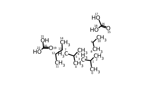 CC(C)C.CC(C)C.CCC.CCCC.O=C(O)O.O=C(O)O